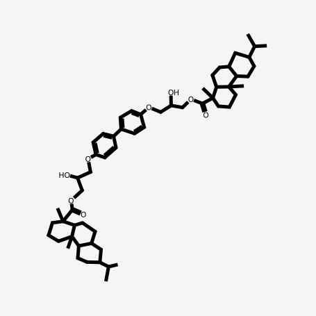 CC(C)C1CCC2C(CCC3C(C)(C(=O)OCC(O)COc4ccc(-c5ccc(OCC(O)COC(=O)C6(C)CCCC7(C)C8CCC(C(C)C)CC8CCC67)cc5)cc4)CCCC23C)C1